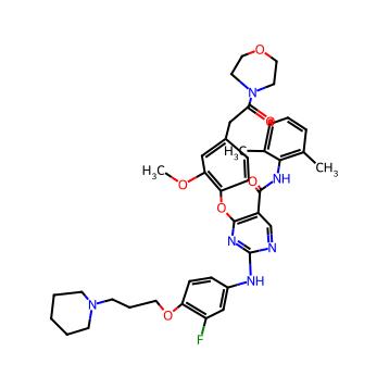 COc1cc(CC(=O)N2CCOCC2)ccc1Oc1nc(Nc2ccc(OCCCN3CCCCC3)c(F)c2)ncc1C(=O)Nc1c(C)cccc1C